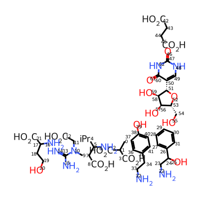 CC(C(=O)O)C(=O)O.CC(C)C(N)CC(=O)O.CN(CC(=O)O)C(=N)N.NC(CCO)C(=O)O.NCC(O)c1ccccc1.NCCc1ccc(O)cc1.O=C(O)CCC(=O)O.O=c1[nH]cc([C@@H]2O[C@H](CO)[C@@H](O)[C@H]2O)c(=O)[nH]1